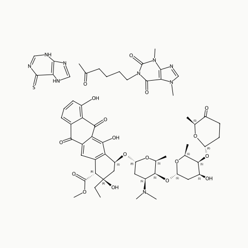 CC(=O)CCCCn1c(=O)c2c(ncn2C)n(C)c1=O.CC[C@@]1(O)C[C@H](O[C@H]2C[C@H](N(C)C)[C@H](O[C@H]3C[C@H](O)[C@H](O[C@H]4CCC(=O)[C@H](C)O4)[C@H](C)O3)[C@H](C)O2)c2c(cc3c(c2O)C(=O)c2c(O)cccc2C3=O)[C@H]1C(=O)OC.S=c1nc[nH]c2nc[nH]c12